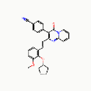 COc1cccc(C=Cc2nc3ccccn3c(=O)c2-c2ccc(C#N)cc2)c1OC1CCCC1